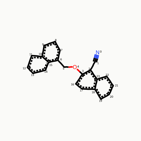 N#Cc1c(OCc2cccc3ccccc23)ccc2ccccc12